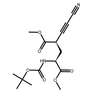 COC(=O)[C@H](C[C@H](C#CC#N)C(=O)OC)NC(=O)OC(C)(C)C